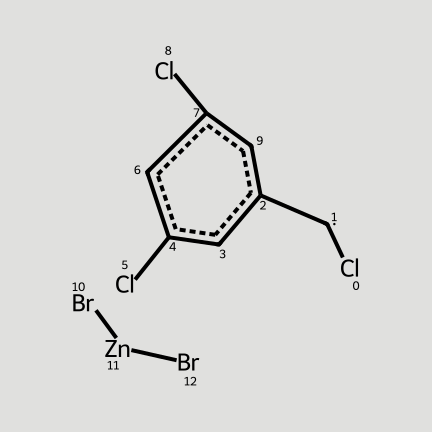 Cl[CH]c1cc(Cl)cc(Cl)c1.[Br][Zn][Br]